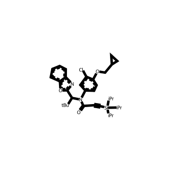 CC(C)[Si](C#CC(=O)N(c1ccc(OCC2CC2)c(Cl)c1)C(c1nc2ccccc2o1)C(C)(C)C)(C(C)C)C(C)C